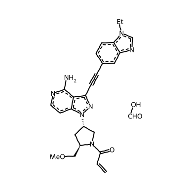 C=CC(=O)N1C[C@@H](n2nc(C#Cc3ccc4c(c3)ncn4CC)c3c(N)nccc32)C[C@@H]1COC.O=CO